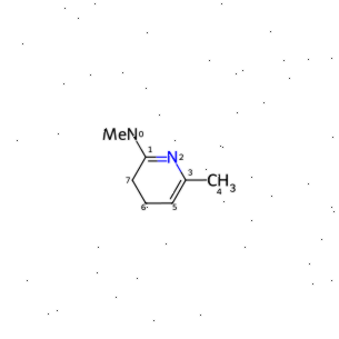 CNC1=NC(C)=CCC1